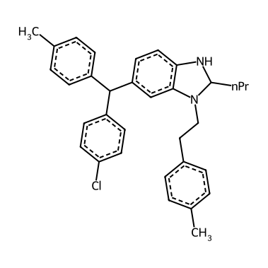 CCCC1Nc2ccc(C(c3ccc(C)cc3)c3ccc(Cl)cc3)cc2N1CCc1ccc(C)cc1